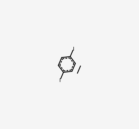 CC.Ic1ccc(I)cc1